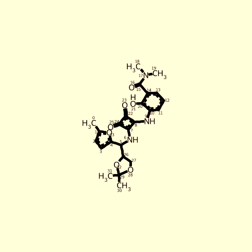 Cc1ccc(C(Nc2c(Nc3cccc(C(=O)N(C)C)c3O)c(=O)c2=O)C2COC(C)(C)O2)o1